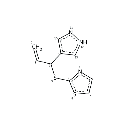 C=CC(Sc1nccs1)c1cn[nH]c1